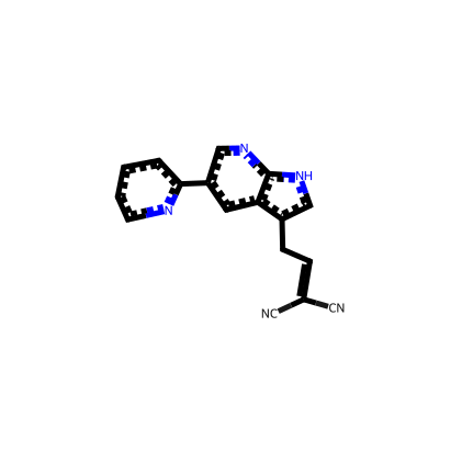 N#CC(C#N)=CCc1c[nH]c2ncc(-c3ccccn3)cc12